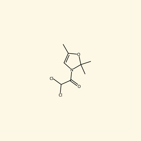 CC1=CN(C(=O)C(Cl)Cl)C(C)(C)O1